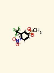 CS(=O)(=O)c1ccc([N+](=O)[O-])c(C(F)(F)F)c1